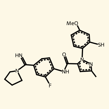 COc1ccc(-n2nc(C)cc2C(=O)Nc2ccc(C(=N)N3CCCC3)cc2F)c(S)c1